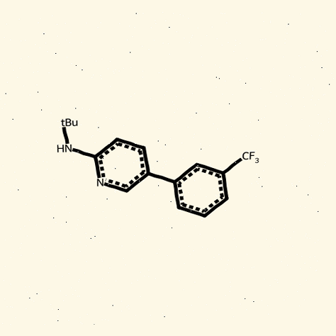 CC(C)(C)Nc1ccc(-c2cccc(C(F)(F)F)c2)cn1